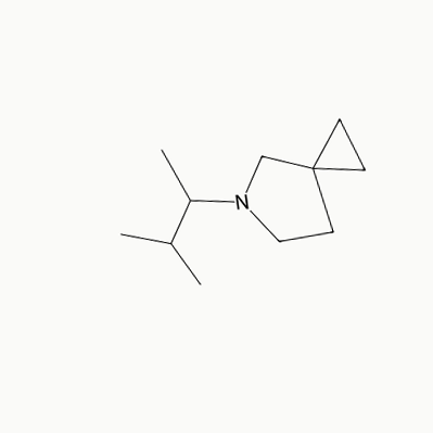 CC(C)C(C)N1CCC2(CC2)C1